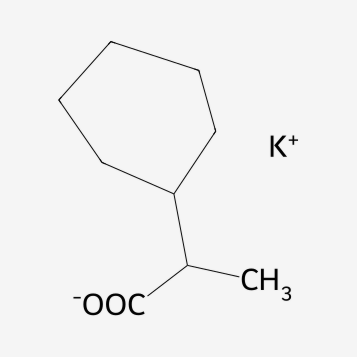 CC(C(=O)[O-])C1CCCCC1.[K+]